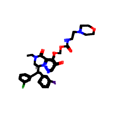 CCN1C[C@H](C(c2cccc(F)c2)c2cccc(I)c2)n2ncc(=O)c(OCOC(=O)NCCN3CCOCC3)c2C1=O